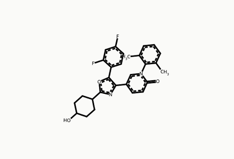 Cc1cccc(C)c1-n1cc(-c2nc(C3CCC(O)CC3)oc2-c2ccc(F)cc2F)ccc1=O